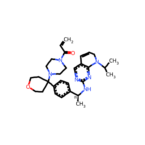 C=CC(=O)N1CCN(C2(c3ccc([C@H](C)Nc4ncc5c(n4)N(C(C)C)CC=C5)cc3)CCOCC2)CC1